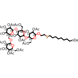 CCCCCCCCCCCCCCCCCCSCCO[C@H]1O[C@H](COC(C)=O)[C@@H](O[C@@H]2O[C@H](COC(C)=O)[C@@H](O[C@@H]3O[C@H](CO[C@@H]4O[C@H](COC(C)=O)[C@@H](OC(C)=O)[C@H](OC(C)=O)[C@H]4OC(C)=O)[C@@H](OC(C)=O)[C@H](OC(C)=O)[C@H]3OC(C)=O)[C@H](OC(C)=O)[C@H]2OC(C)=O)[C@H](OC(C)=O)[C@H]1OC(C)=O